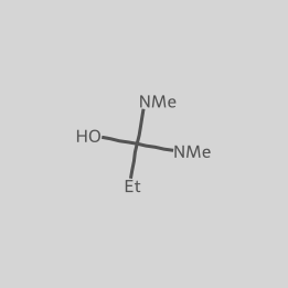 CCC(O)(NC)NC